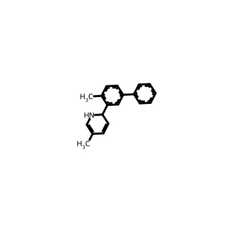 CC1=CNC(c2cc(-c3ccccc3)ccc2C)C=C1